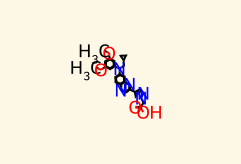 COc1cc(OC)cc(N(CC2CC2)c2ccc3ncc(-c4cnn(CC(=O)O)c4)nc3c2)c1